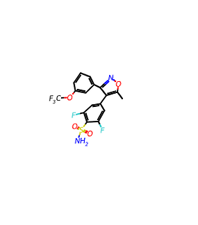 Cc1onc(-c2cccc(OC(F)(F)F)c2)c1-c1cc(F)c(S(N)(=O)=O)c(F)c1